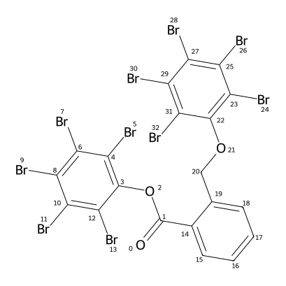 O=C(Oc1c(Br)c(Br)c(Br)c(Br)c1Br)c1ccccc1COc1c(Br)c(Br)c(Br)c(Br)c1Br